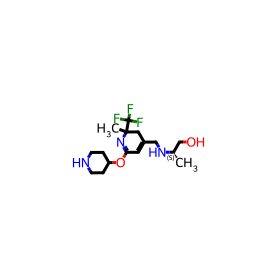 C[C@@H](CO)NCC1=CC(OC2CCNCC2)=NC(C)(C(F)(F)F)C1